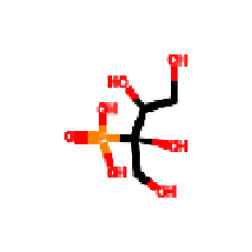 O=P(O)(O)[C@@](O)(CO)[C@@H](O)CO